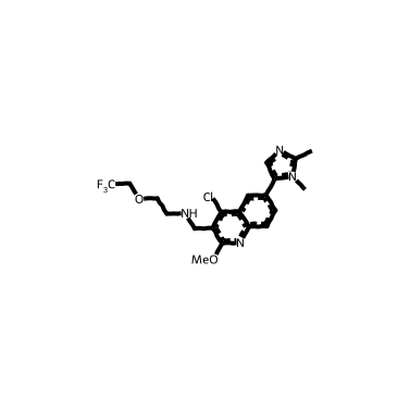 COc1nc2ccc(-c3cnc(C)n3C)cc2c(Cl)c1CNCCOCC(F)(F)F